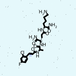 CC(NC(=O)/C=C/c1ccc(F)cc1Cl)C(=O)N[C@@H](CCC(=O)NC(CCCCN)C(N)=O)C(N)=O